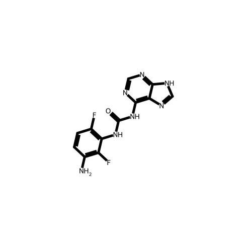 Nc1ccc(F)c(NC(=O)Nc2ncnc3[nH]cnc23)c1F